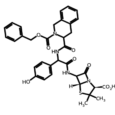 CC1(C)S[C@@H]2C(NC(=O)C(NC(=O)C3Cc4ccccc4CN3C(=O)OCc3ccccc3)c3ccc(O)cc3)C(=O)N2[C@H]1C(=O)O